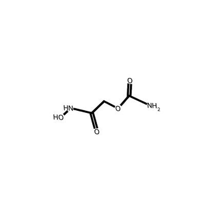 NC(=O)OCC(=O)NO